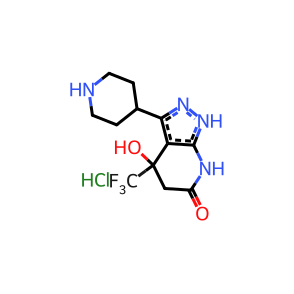 Cl.O=C1CC(O)(C(F)(F)F)c2c(C3CCNCC3)n[nH]c2N1